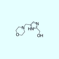 OCc1ncc(CN2CCOCC2)[nH]1